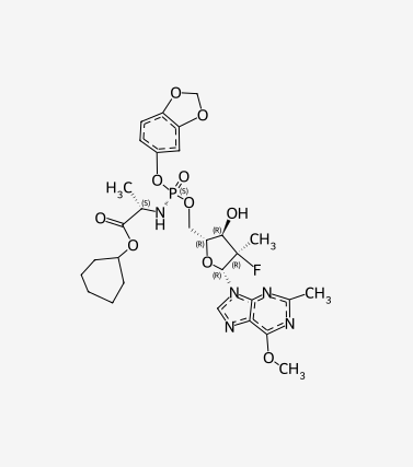 COc1nc(C)nc2c1ncn2[C@@H]1O[C@H](CO[P@@](=O)(N[C@@H](C)C(=O)OC2CCCCC2)Oc2ccc3c(c2)OCO3)[C@@H](O)[C@@]1(C)F